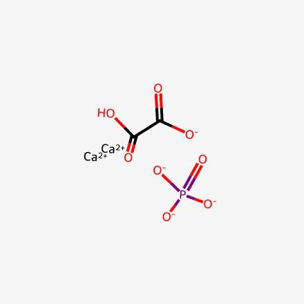 O=C([O-])C(=O)O.O=P([O-])([O-])[O-].[Ca+2].[Ca+2]